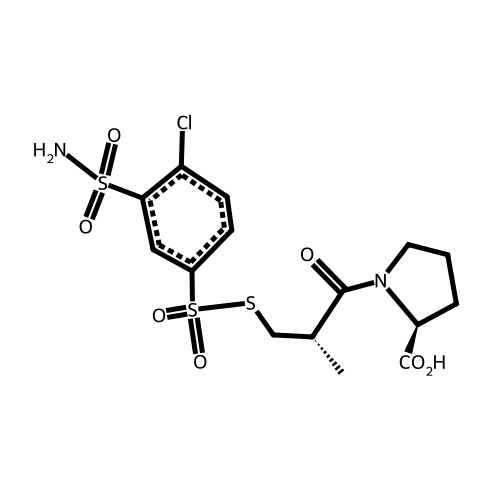 C[C@H](CSS(=O)(=O)c1ccc(Cl)c(S(N)(=O)=O)c1)C(=O)N1CCC[C@H]1C(=O)O